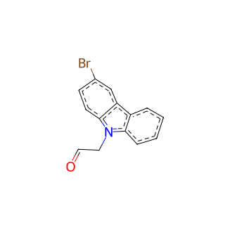 O=CCn1c2ccccc2c2cc(Br)ccc21